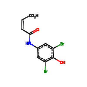 O=C(O)/C=C\C(=O)Nc1cc(Br)c(O)c(Br)c1